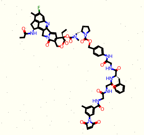 CCC(=O)N[C@H]1Cc2c(C)c(F)cc3nc4c(c1c23)Cn1c-4cc2c(c1=O)COC(=O)[C@@]2(CC)OC(=O)N(C)C[C@@H]1CCCN1C(=O)OCc1ccc(NC(=O)CNC(=O)[C@H](Cc2ccccc2)NC(=O)CNC(=O)CNC(=O)c2cc(C)cc(N3C(=O)C=CC3=O)c2)cc1